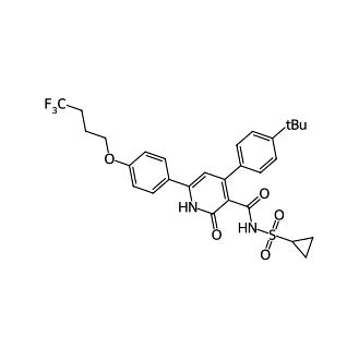 CC(C)(C)c1ccc(-c2cc(-c3ccc(OCCCC(F)(F)F)cc3)[nH]c(=O)c2C(=O)NS(=O)(=O)C2CC2)cc1